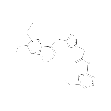 COc1cc2ncnc(Oc3cnn(CC(=O)Nc4cc(CO)ccn4)c3)c2cc1OC